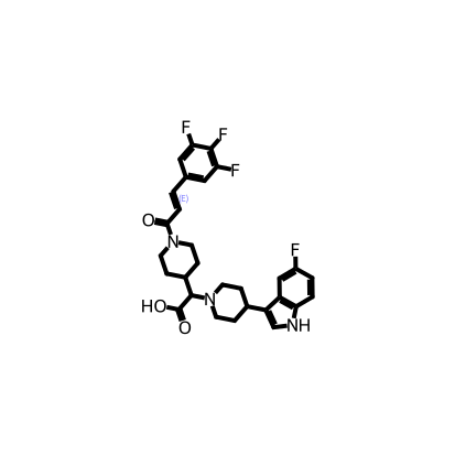 O=C(O)C(C1CCN(C(=O)/C=C/c2cc(F)c(F)c(F)c2)CC1)N1CCC(c2c[nH]c3ccc(F)cc23)CC1